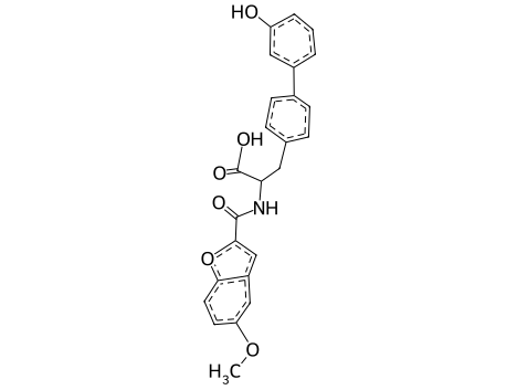 COc1ccc2oc(C(=O)NC(Cc3ccc(-c4cccc(O)c4)cc3)C(=O)O)cc2c1